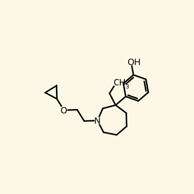 CCC1(c2cccc(O)c2)CCCCN(CCOC2CC2)C1